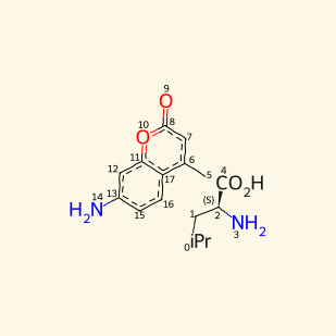 CC(C)C[C@H](N)C(=O)O.Cc1cc(=O)oc2cc(N)ccc12